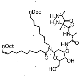 CCCCCCCC/C=C\CCCCCCCC(=O)N(CCCCCCCCCCCCCCCCCC)[C@H]1C[C@H](ONC(=O)[C@H](C)NC(=O)[C@](C)(N)C(=O)[C@H](C)N)[C@@H](O)[C@@H](CO)O1